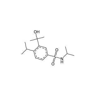 CC(C)NS(=O)(=O)c1ccc(C(C)C)c(C(C)(C)O)c1